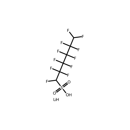 O=S(=O)(O)C(F)C(F)(F)C(F)(F)C(F)(F)C(F)(F)C(F)F.[LiH]